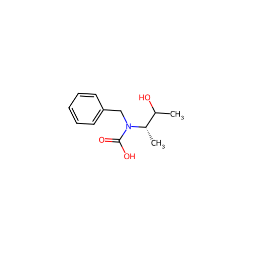 CC(O)[C@H](C)N(Cc1ccccc1)C(=O)O